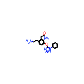 NCCc1ccc(Oc2nnnn2-c2ccccc2)c2c1CC(=O)N2